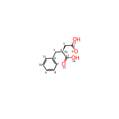 O=C(O)C[C@H](Cc1ccccc1)C(=O)O